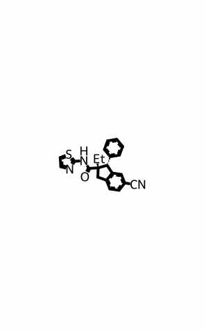 CC[C@]1(C(=O)Nc2nccs2)Cc2ccc(C#N)cc2[C@H]1c1ccccc1